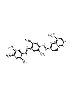 COc1cc(N=Nc2ccc3cccc(S(=O)(=O)O)c3c2)c(C)cc1N=Nc1cc(C)c(N)cc1C